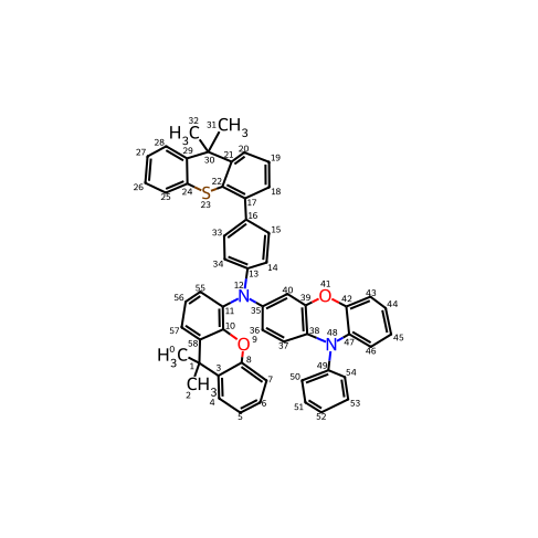 CC1(C)c2ccccc2Oc2c(N(c3ccc(-c4cccc5c4Sc4ccccc4C5(C)C)cc3)c3ccc4c(c3)Oc3ccccc3N4c3ccccc3)cccc21